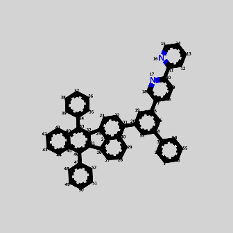 c1ccc(-c2cc(-c3ccc(-c4ccccn4)nc3)cc(-c3ccc4c5c(cccc35)-c3c-4c(-c4ccccc4)c4ccccc4c3-c3ccccc3)c2)cc1